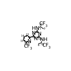 C[C@H](Nc1nc(N[C@@H](C)C(F)(F)F)nc(-c2cccc(C(F)(F)F)n2)n1)C(F)(F)F